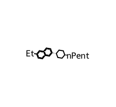 CCCCC[C@H]1CC[C@H](c2ccc3cc(CC)ccc3c2)CC1